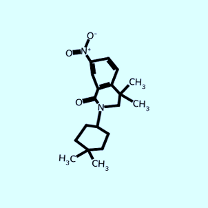 CC1(C)CCC(N2CC(C)(C)c3ccc([N+](=O)[O-])cc3C2=O)CC1